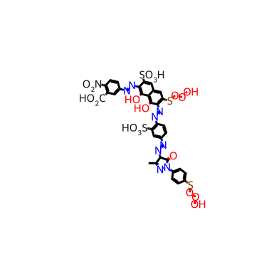 CC1=NN(c2ccc(SOOO)cc2)C(=O)C1N=Nc1ccc(N=Nc2c(SOOO)cc3cc(S(=O)(=O)O)c(N=Nc4ccc([N+](=O)[O-])c(C(=O)O)c4)c(O)c3c2O)c(S(=O)(=O)O)c1